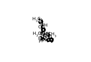 COc1cc(C(=O)NN2CCN(C)CC2)ccc1Nc1ncc(C(F)(F)F)c(N[C@@H]2Cc3ccccc3C2NS(C)(=O)=O)n1